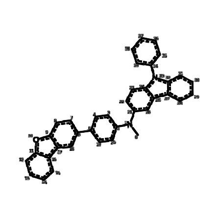 CN(c1ccc(-c2ccc3oc4ccccc4c3c2)cc1)c1ccc2c(c1)c1ccccc1n2-c1ccccc1